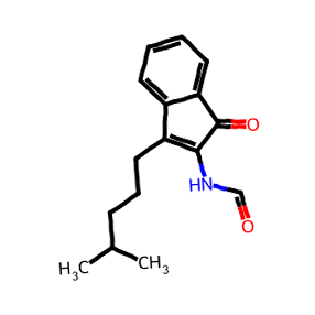 CC(C)CCCC1=C(NC=O)C(=O)c2ccccc21